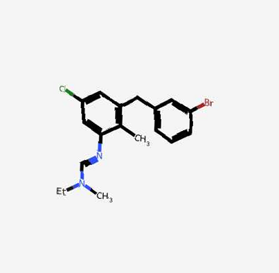 CCN(C)C=Nc1cc(Cl)cc(Cc2cccc(Br)c2)c1C